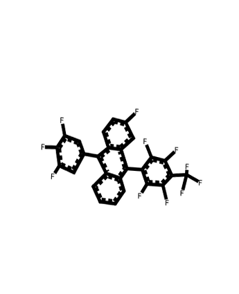 Fc1ccc2c(-c3cc(F)c(F)c(F)c3)c3ccccc3c(-c3c(F)c(F)c(C(F)(F)F)c(F)c3F)c2c1